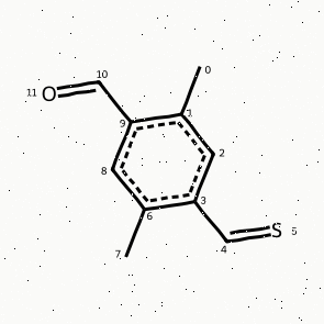 Cc1cc(C=S)c(C)cc1C=O